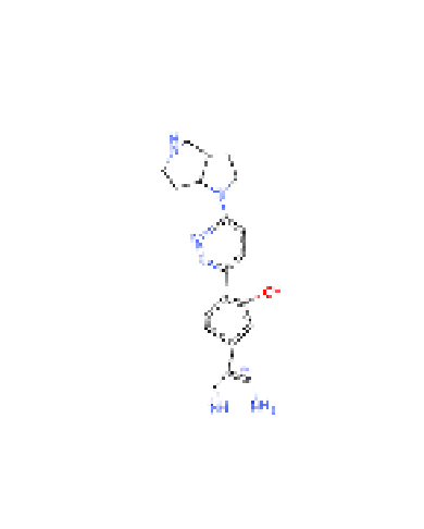 N=C/C(=C\N)c1ccc(-c2ccc(N3CCC4CNCCC43)nn2)c(O)c1